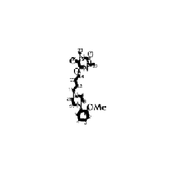 COc1ccccc1N1CCN(CCCCOc2nn(C)c(=O)n(C)c2=O)CC1